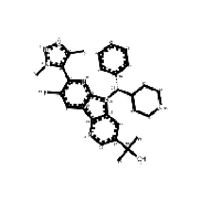 Cc1nnn(C)c1-c1nc2c(cc1F)c1ncc(C(C)(C)O)cc1n2[C@H](c1ccccc1)C1CCOCC1